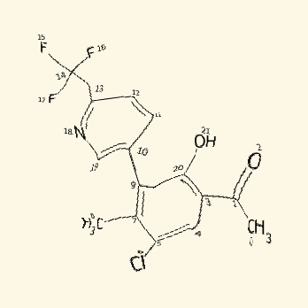 CC(=O)c1cc(Cl)c(C)c(-c2ccc(C(F)(F)F)nc2)c1O